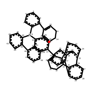 C1=CC(c2ccccc2N(c2ccc(-c3ccc4c(c3)-c3c5cccc3-c3cccc-4c3C3=C5C=CCC3)cc2)c2ccccc2-c2ccccc2)=CCC1